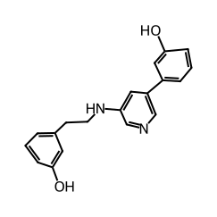 Oc1cccc(CCNc2cncc(-c3cccc(O)c3)c2)c1